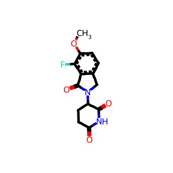 COc1ccc2c(c1F)C(=O)N(C1CCC(=O)NC1=O)C2